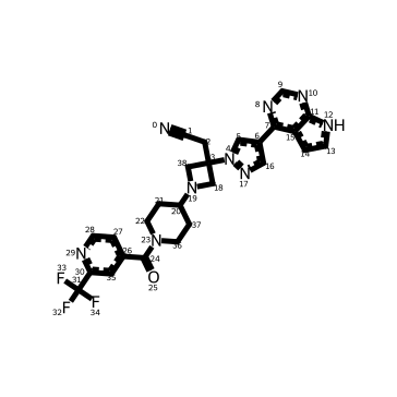 N#CCC1(n2cc(-c3ncnc4[nH]ccc34)cn2)CN(C2CCN(C(=O)c3ccnc(C(F)(F)F)c3)CC2)C1